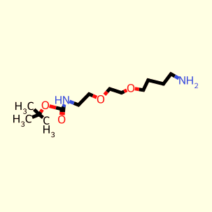 CC(C)(C)OC(=O)NCCOCCOCCCCN